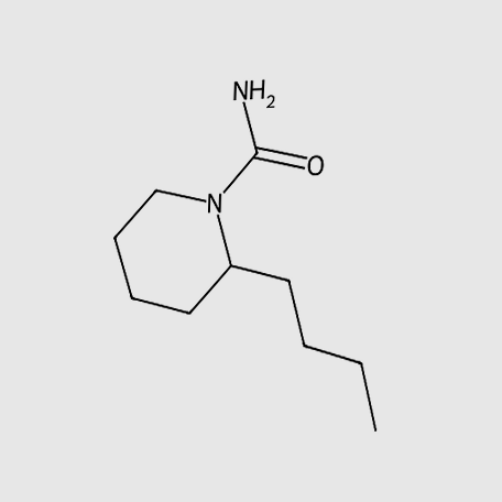 CCCCC1CCCCN1C(N)=O